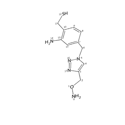 NOCc1cn(Cc2ccc(CS)c(N)c2)nn1